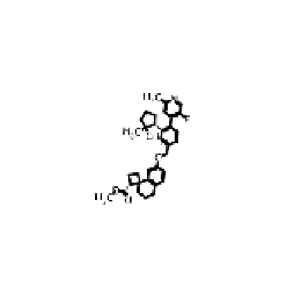 COC(=O)[C@@H]1CC[C@@]12CCCc1ccc(OCc3ccc(-c4cc(C)ncc4F)c([C@@H]4CCCC4(C)C)c3)cc12